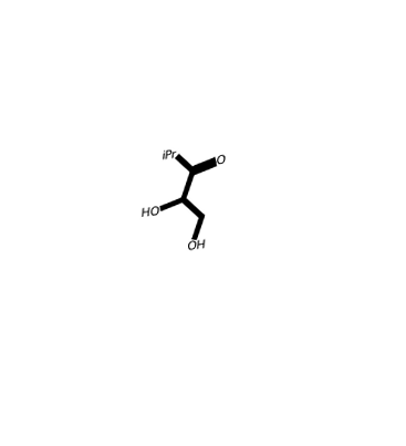 CC(C)C(=O)C(O)CO